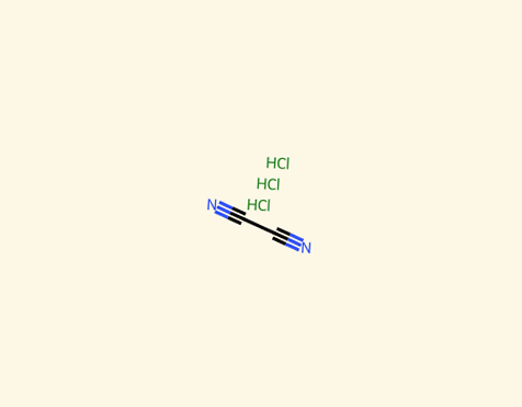 Cl.Cl.Cl.N#CC#N